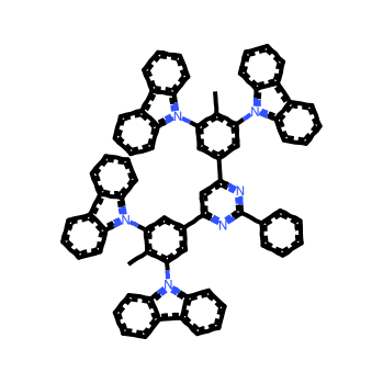 Cc1c(-n2c3ccccc3c3ccccc32)cc(-c2cc(-c3cc(-n4c5ccccc5c5ccccc54)c(C)c(-n4c5ccccc5c5ccccc54)c3)nc(-c3ccccc3)n2)cc1-n1c2ccccc2c2ccccc21